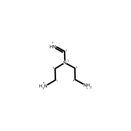 N=CN(CCN)CCN